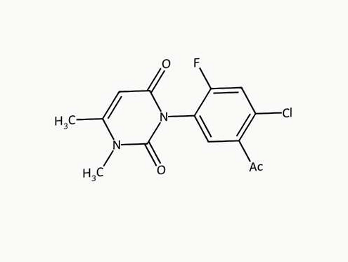 CC(=O)c1cc(-n2c(=O)cc(C)n(C)c2=O)c(F)cc1Cl